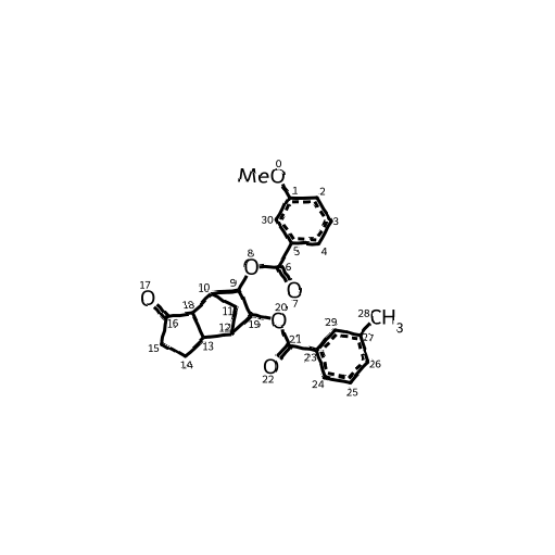 COc1cccc(C(=O)OC2C3CC(C4CCC(=O)C43)C2OC(=O)c2cccc(C)c2)c1